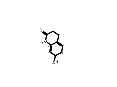 O=C1CCC2=CCC(O)C=C2O1